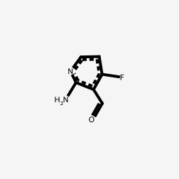 Nc1nccc(F)c1C=O